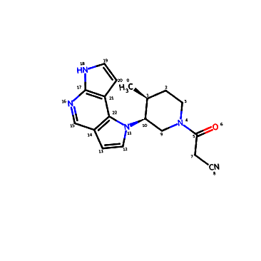 C[C@H]1CCN(C(=O)CC#N)C[C@H]1n1ccc2cnc3[nH]ccc3c21